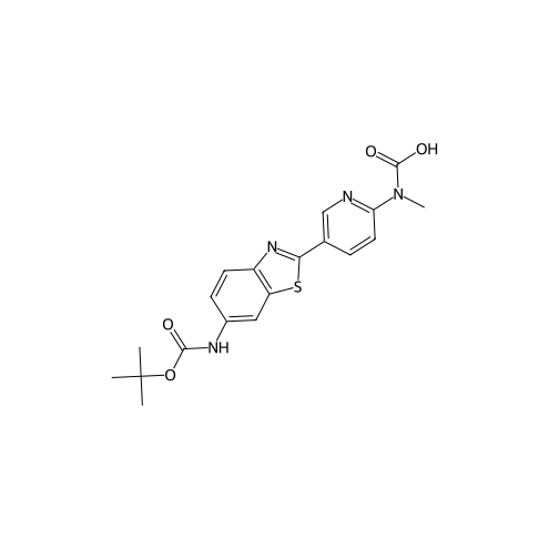 CN(C(=O)O)c1ccc(-c2nc3ccc(NC(=O)OC(C)(C)C)cc3s2)cn1